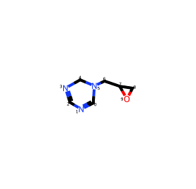 C1=NC=NCN1CC1CO1